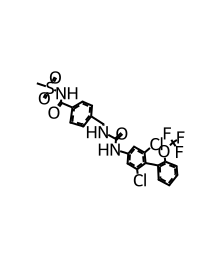 CS(=O)(=O)NC(=O)c1ccc(CNC(=O)Nc2cc(Cl)c(-c3ccccc3OC(F)(F)F)c(Cl)c2)cc1